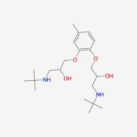 Cc1ccc(OCC(O)CNC(C)(C)C)c(OCC(O)CNC(C)(C)C)c1